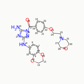 Nc1nc(Nc2ccc3c(c2)OCCO3)nn1C(=O)c1ccc(OCCN2CCOCC2)cc1